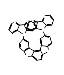 c1cnc2c3ncccc3n(-c3ccc4oc5ccc6oc7ccc(-n8c9cccnc9c9ncccc98)cc7c6c5c4c3)c2c1